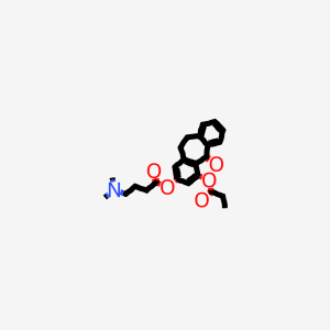 CCC(=O)Oc1cc(OC(=O)CCCN(C)C)cc2c1C(=O)c1ccccc1CC2